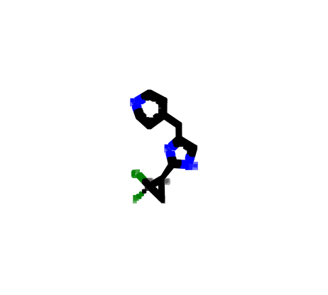 F[C@@]1(Cl)C[C@@H]1c1nc(Cc2ccncc2)c[nH]1